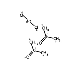 CS(C)=O.CS(C)=O.[Cl][Pt][Cl]